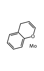 C1=COc2ccccc2C1.[Mo]